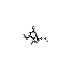 Cn1nc(N)c2nc(Cl)cc(C=O)c21